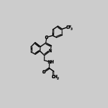 C=CC(=O)NCc1ncc(Oc2ccc(C(F)(F)F)cc2)c2ccccc12